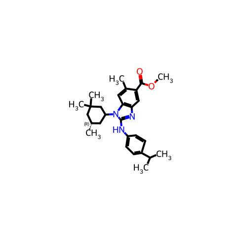 COC(=O)c1cc2nc(Nc3ccc(C(C)C)cc3)n(C3C[C@H](C)CC(C)(C)C3)c2cc1C